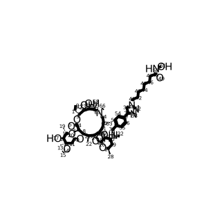 CC[C@H]1OC(=O)[C@H](C)[C@@H](O[C@H]2C[C@@](C)(OC)[C@@H](O)[C@H](C)O2)[C@H](C)[C@@H](O[C@@H]2O[C@H](C)C[C@H](N(C)Cc3ccc(C4CN(CCCCCCCC(=O)NO)N=N4)cc3)[C@H]2O)[C@](C)(O)C[C@@H](C)CN(C)[C@H](C)[C@@H](O)[C@]1(C)O